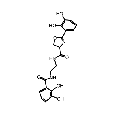 O=C(NCCNC(=O)C1COC(c2cccc(O)c2O)=N1)c1cccc(O)c1O